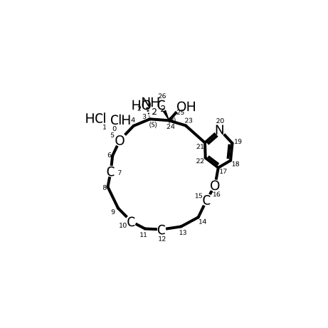 Cl.Cl.N[C@H]1COCCCCCCCCCCOc2ccnc(c2)C[C@]1(O)C(=O)O